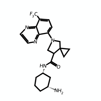 N[C@@H]1CCC[C@H](NC(=O)C2CN(c3ccc(C(F)(F)F)c4nccnc34)CC23CC3)C1